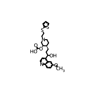 COc1ccc2nccc(C(O)CC[C@@H]3CCN(CCSc4cccs4)C[C@@H]3OC(=O)O)c2c1